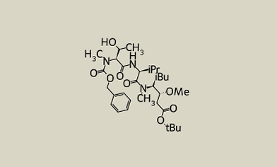 CC[C@H](C)[C@@H]([C@@H](CC(=O)OC(C)(C)C)OC)N(C)C(=O)[C@@H](NC(=O)[C@H](C(C)O)N(C)C(=O)OCc1ccccc1)C(C)C